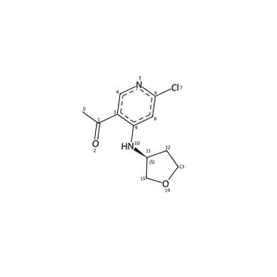 CC(=O)c1cnc(Cl)cc1N[C@H]1CCOC1